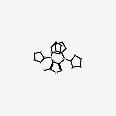 Cc1scc(P(C2CCCC2)C2CCCC2)c1P(C1CCCC1)C1CCCC1